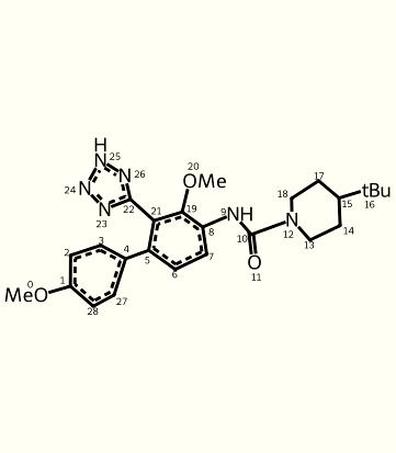 COc1ccc(-c2ccc(NC(=O)N3CCC(C(C)(C)C)CC3)c(OC)c2-c2nn[nH]n2)cc1